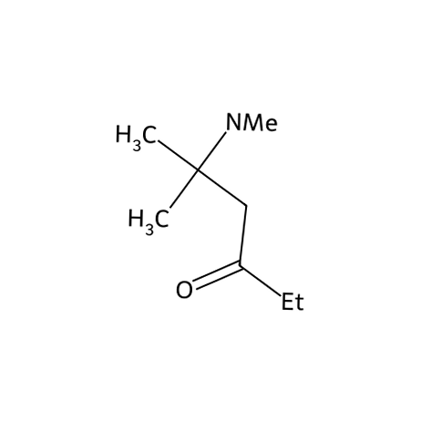 CCC(=O)CC(C)(C)NC